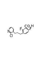 O=C(O)c1c(F)ccc(CCCc2cccnc2Cl)c1F